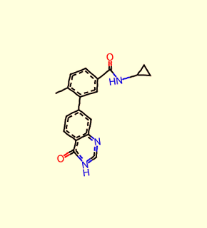 Cc1ccc(C(=O)NC2CC2)cc1-c1ccc2c(=O)[nH]cnc2c1